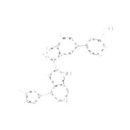 Cc1ccc(-c2cncc3[nH]c(-c4n[nH]c5ncc(-c6cncc(O)c6)cc45)cc23)s1